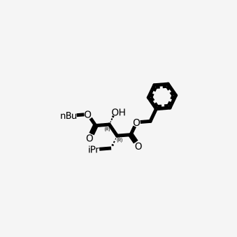 CCCCOC(=O)[C@H](O)[C@@H](CC(C)C)C(=O)OCc1ccccc1